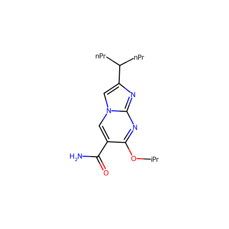 CCCC(CCC)c1cn2cc(C(N)=O)c(OC(C)C)nc2n1